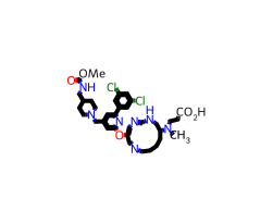 COC(=O)NCC1CCN(Cc2cc(OC3=C/N=C/NCC(N(C)CCC(=O)O)CCCC/N=C\3)nc(-c3cc(Cl)cc(Cl)c3)c2)CC1